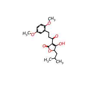 COc1ccc(OC)c(CCC(=O)C2=C(O)C(CC(C)C)OC2=O)c1